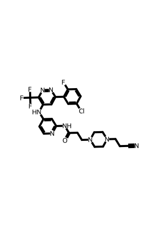 N#CCCN1CCN(CCC(=O)Nc2cc(Nc3cc(-c4cc(Cl)ccc4F)nnc3C(F)(F)F)ccn2)CC1